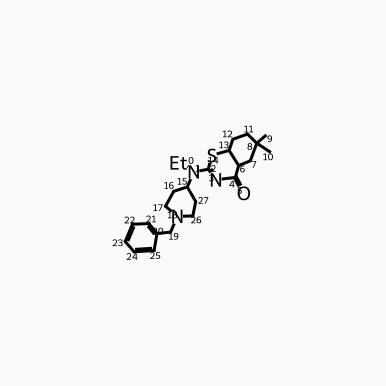 CCN(C1=NC(=O)C2CC(C)(C)CCC2S1)C1CCN(Cc2ccccc2)CC1